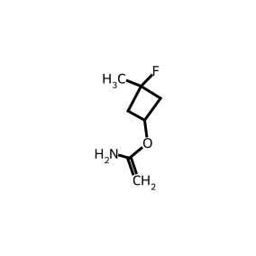 C=C(N)OC1CC(C)(F)C1